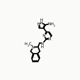 CN1Cc2ccccc2CC1CNc1nccc(-c2cn[nH]c2N)n1